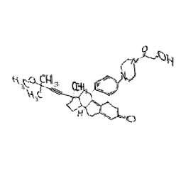 COC(C)(C)C#C[C@]1(O)CCC2[C@@H]3CCC4=CC(=O)CCC4=C3[C@@H](c3ccc(N4CCN(C(=O)CO)CC4)cc3)C[C@@]21C